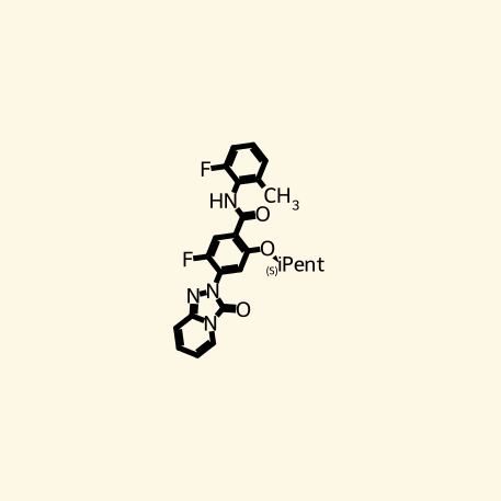 CCC[C@H](C)Oc1cc(-n2nc3ccccn3c2=O)c(F)cc1C(=O)Nc1c(C)cccc1F